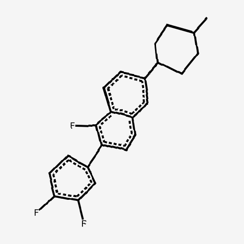 CC1CCC(c2ccc3c(F)c(-c4ccc(F)c(F)c4)ccc3c2)CC1